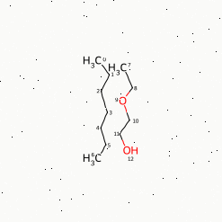 CCCCCCC.CCOCCO